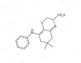 CC1(C)CC2=NC(C(=O)O)CSC2=C(Nc2ccccc2)C1